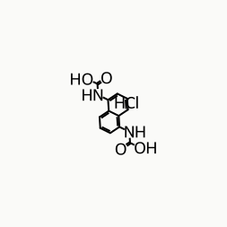 Cl.O=C(O)Nc1cccc2c(NC(=O)O)cccc12